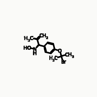 C=C(C)C(NO)c1ccc(OC(C)(C)Br)cc1